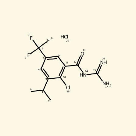 CC(C)c1cc(C(F)(F)F)cc(C(=O)NC(=N)N)c1Cl.Cl